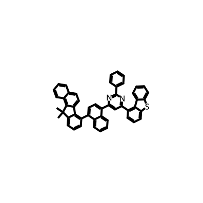 CC1(C)c2cccc(-c3ccc(-c4cc(-c5cccc6sc7ccccc7c56)nc(-c5ccccc5)n4)c4ccccc34)c2-c2ccc3ccccc3c21